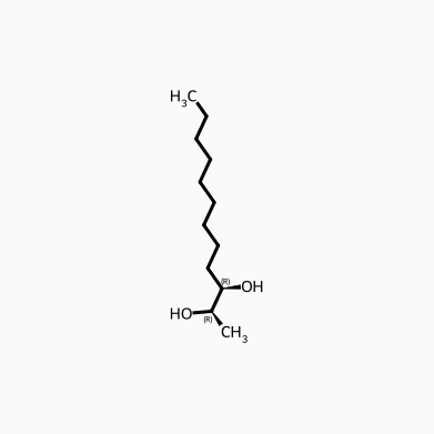 CCCCCCCCC[C@@H](O)[C@@H](C)O